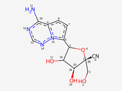 N#C[C@]1(CO)OC(c2ccc3c(N)ncnn23)C(O)[C@@H]1O